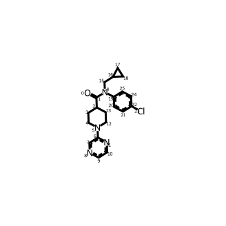 O=C(C1CCN(c2cnccn2)CC1)N(CC1CC1)c1ccc(Cl)cc1